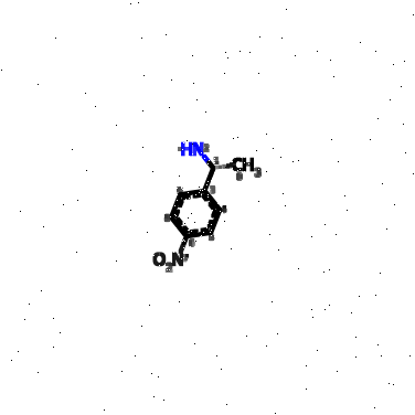 C[C@@H]([NH])c1ccc([N+](=O)[O-])cc1